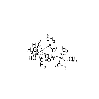 CCC(C)(C)C(=O)OC(C)C(C)(C)C(C)(C)O